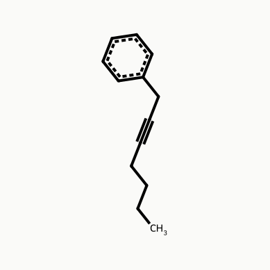 CCCCC#CCc1ccccc1